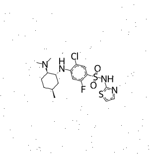 C[C@H]1CC[C@@H](N(C)C)[C@H](Nc2cc(F)c(S(=O)(=O)Nc3nccs3)cc2Cl)C1